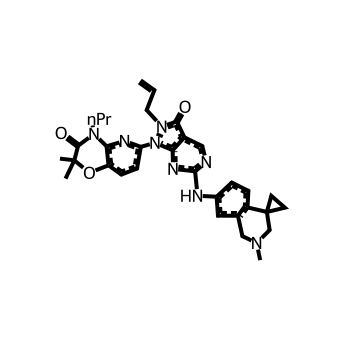 C=CCn1c(=O)c2cnc(Nc3ccc4c(c3)CN(C)CC43CC3)nc2n1-c1ccc2c(n1)N(CCC)C(=O)C(C)(C)O2